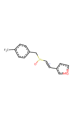 [O-][S+](/C=C/c1ccoc1)Cc1ccc(C(F)(F)F)cc1